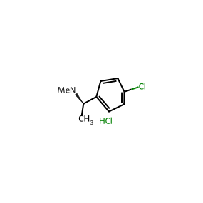 CN[C@H](C)c1ccc(Cl)cc1.Cl